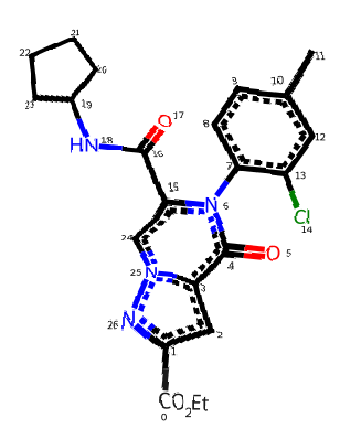 CCOC(=O)c1cc2c(=O)n(-c3ccc(C)cc3Cl)c(C(=O)NC3CCCC3)cn2n1